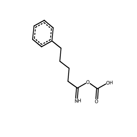 N=C(CCCCc1ccccc1)OC(=O)O